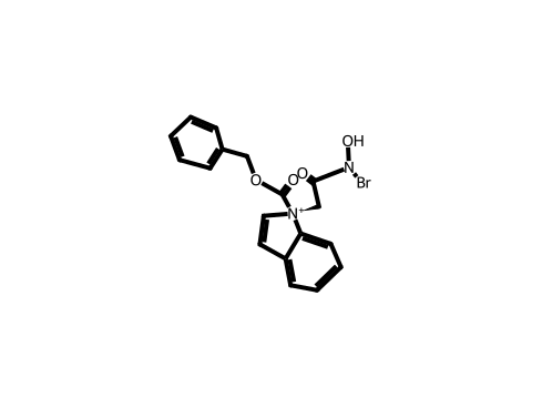 O=C(C[N@+]1(C(=O)OCc2ccccc2)C=Cc2ccccc21)N(O)Br